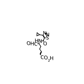 O=CC(CCC=CC(=O)O)NC(=O)c1snnc1C1CC1